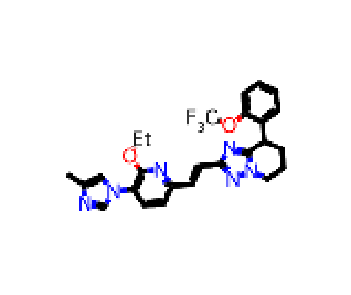 CCOc1nc(/C=C/c2nc3n(n2)CCCC3c2ccccc2OC(F)(F)F)ccc1-n1cnc(C)c1